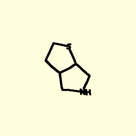 C1CC2CNCC2S1